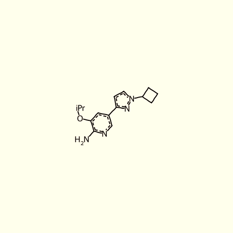 CC(C)Oc1cc(-c2ccn(C3CCC3)n2)cnc1N